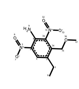 CCc1cc([N+](=O)[O-])c(N)c([N+](=O)[O-])c1COC